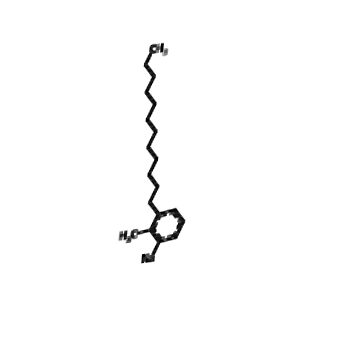 CCCCCCCCCCCCc1ccc[c]([Na])c1C